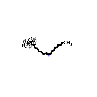 CCCCCCCC/C=C\CCCCCCCC(=O)C(C)(N)C(=O)O